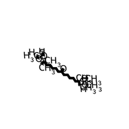 CCC(C)(CCCCCC(=O)CCCCCC(C)(CC)[SiH](OC)OC)[SiH](OC)OC